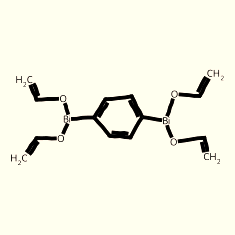 C=C[O][Bi]([O]C=C)[c]1cc[c]([Bi]([O]C=C)[O]C=C)cc1